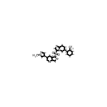 Cn1cc(-c2cnc3cnn(S(=O)(=O)c4cnc5ccc(-c6ccccc6C(F)(F)F)cn45)c3c2)cn1